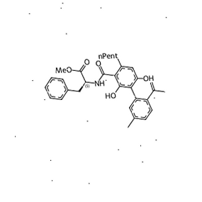 C=C(C)c1ccc(C)cc1-c1c(O)cc(CCCCC)c(C(=O)N[C@@H](Cc2ccccc2)C(=O)OC)c1O